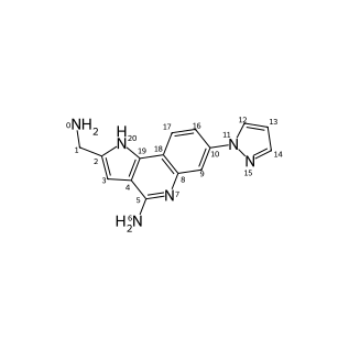 NCc1cc2c(N)nc3cc(-n4cccn4)ccc3c2[nH]1